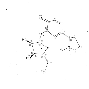 CN1CCC[C@H]1c1ccc(=O)n(O[C@@H]2O[C@H](CO)[C@@H](O)[C@H]2O)c1